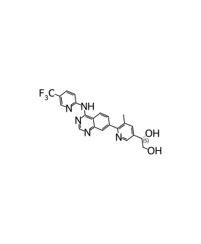 Cc1cc([C@H](O)CO)cnc1-c1ccc2c(Nc3ccc(C(F)(F)F)cn3)ncnc2c1